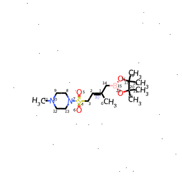 C/C(=C\CS(=O)(=O)N1CCN(C)CC1)CB1OC(C)(C)C(C)(C)O1